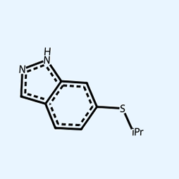 CC(C)Sc1ccc2cn[nH]c2c1